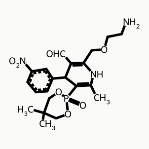 CC1=C(P2(=O)OCC(C)(C)CO2)C(c2cccc([N+](=O)[O-])c2)C(C=O)=C(COCCN)N1